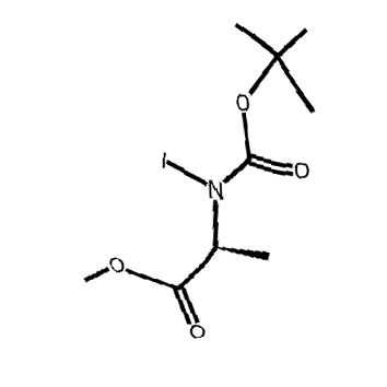 COC(=O)[C@H](C)N(I)C(=O)OC(C)(C)C